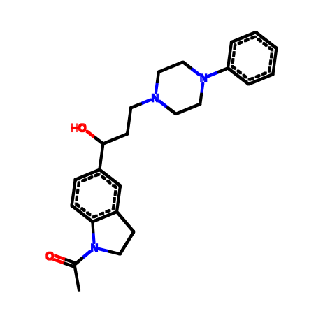 CC(=O)N1CCc2cc(C(O)CCN3CCN(c4ccccc4)CC3)ccc21